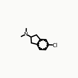 CN(C)C1Cc2ccc(Cl)cc2C1